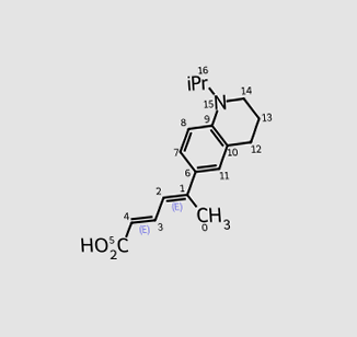 C/C(=C\C=C\C(=O)O)c1ccc2c(c1)CCCN2C(C)C